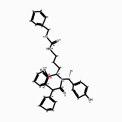 C[C@H](c1ccc(O)cc1)N(C(=O)C(c1ccccc1)c1ccccc1)[C@H](CCCNC(=O)OCc1ccccc1)C(N)=O